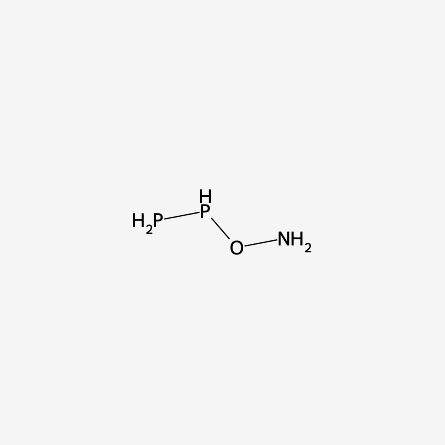 NOPP